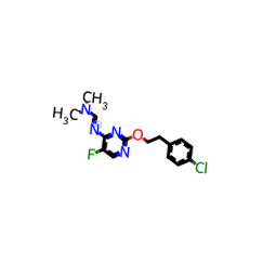 CN(C)/C=N/c1nc(OCCc2ccc(Cl)cc2)ncc1F